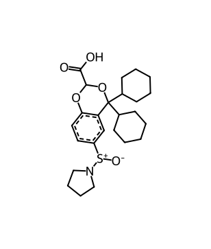 O=C(O)C1Oc2ccc([S+]([O-])N3CCCC3)cc2C(C2CCCCC2)(C2CCCCC2)O1